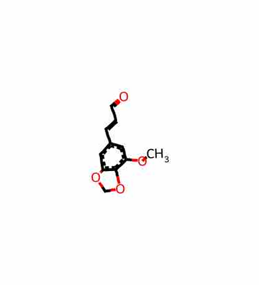 COc1cc(/C=C/C=O)cc2c1OCO2